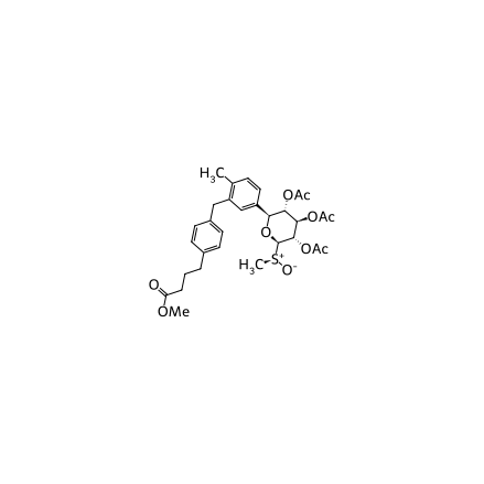 COC(=O)CCCc1ccc(Cc2cc([C@@H]3O[C@H]([S@+](C)[O-])[C@@H](OC(C)=O)[C@H](OC(C)=O)[C@H]3OC(C)=O)ccc2C)cc1